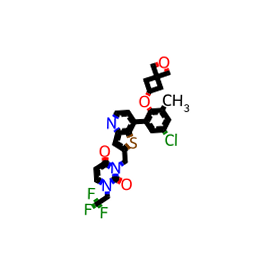 Cc1cc(Cl)cc(-c2ccnc3cc(Cn4c(=O)ccn(CC(F)(F)F)c4=O)sc23)c1OC1CC2(COC2)C1